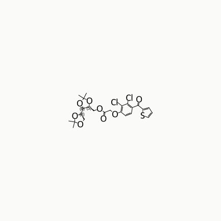 CC1(C)O[C@H]([C@H]2COC(C)(C)O2)[C@H](COC(=O)COc2ccc(C(=O)c3cccs3)c(Cl)c2Cl)O1